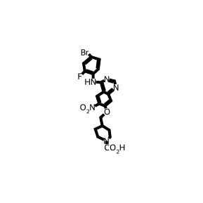 O=C(O)N1CCC(COc2cc3ncnc(Nc4ccc(Br)cc4F)c3cc2[N+](=O)[O-])CC1